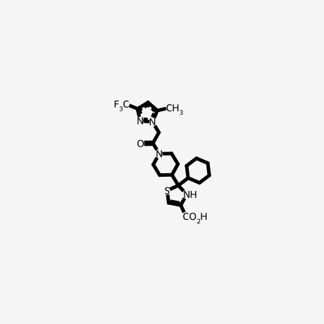 Cc1cc(C(F)(F)F)nn1CC(=O)N1CCC(C2(C3CCCCC3)NC(C(=O)O)=CS2)CC1